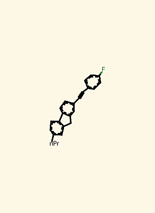 CCCc1ccc2c(c1)Cc1cc(C#Cc3ccc(F)cc3)ccc1-2